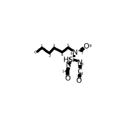 CCCCCC[N+](=C=O)[SiH](N=C=O)N=C=O